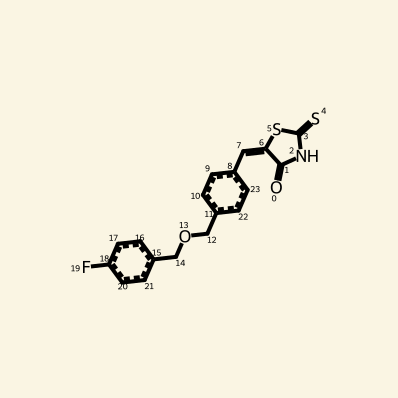 O=C1NC(=S)S/C1=C/c1ccc(COCc2ccc(F)cc2)cc1